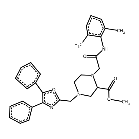 COC(=O)C1CN(Cc2nc(-c3ccccc3)c(-c3ccccc3)o2)CCN1CC(=O)Nc1c(C)cccc1C